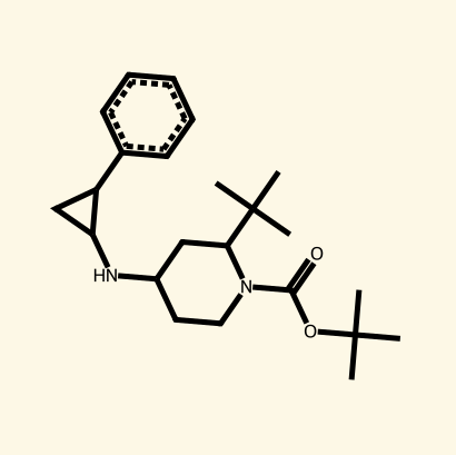 CC(C)(C)OC(=O)N1CCC(NC2CC2c2ccccc2)CC1C(C)(C)C